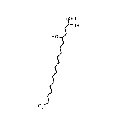 CCCCCCCCC(O)CCC(O)CCCCCCCCCCCCCC(=O)O